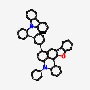 C1=C=C(N(c2ccc(-c3cccc(-c4ccccc4-n4c5c#cccc5c5ccccc54)c3)cc2)c2ccccc2-c2cccc3c2oc2ccccc23)C=CC=1